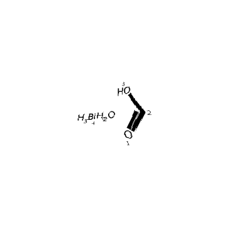 O.O=CO.[BiH3]